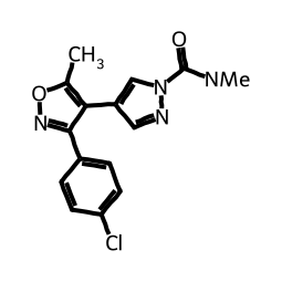 CNC(=O)n1cc(-c2c(-c3ccc(Cl)cc3)noc2C)cn1